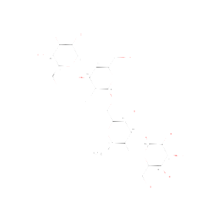 CO[C@H]1OC(CO[C@@H]2OC(CO)[C@@H](O[C@@H]3O[C@@H](CO)[C@H](O)C(O)C3O)[C@H](O)C2C)[C@H](O)[C@H](O[C@@H]2OC(CO)[C@H](O)[C@H](O)C2O)C1C